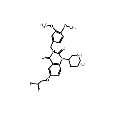 COc1ccc(Cn2c(=O)c3cc(OCC(F)F)ccc3n(C3CCCNC3)c2=O)cc1OC.Cl